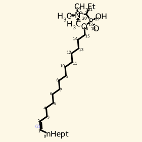 CCCCCCC/C=C\CCCCCCCCCCCCCOP(=O)(O)C(CC)[N+](C)(C)C